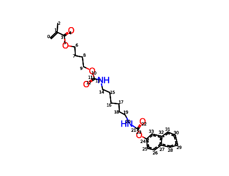 C=C(C)C(=O)OCCCCOC(=O)NCCCCCCNC(=O)Oc1ccc2ccccc2c1